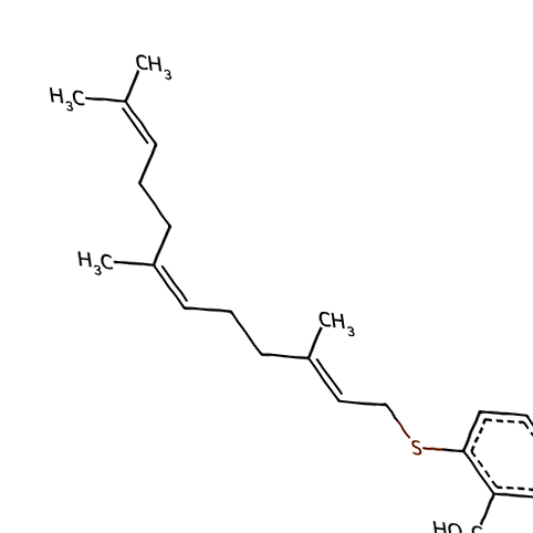 CC(C)=CCCC(C)=CCC/C(C)=C/CSc1ccccc1C(=O)O